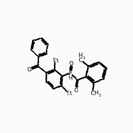 CCc1ccc(C(=O)c2ccccc2)c(CC)c1[PH](=O)C(=O)c1c(C)cccc1C